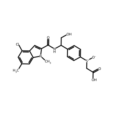 Cc1cc(Cl)c2cc(C(=O)NC(CO)c3ccc([S+]([O-])CC(=O)O)cc3)n(C)c2c1